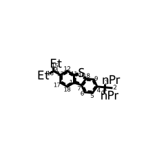 CCCC(C)(CCC)c1ccc2c(c1)sc1cc(C(CC)CC)ccc12